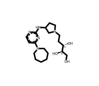 OC[C@@H](O)[C@@H](O)CCN1CCC(Nc2nccc(N3CCCCCC3)n2)C1